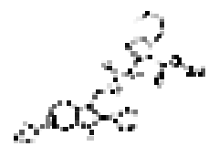 CC(C)(C)OC(=O)c1c(NC(=O)NCc2c(-n3cccc3)[nH]c3c2CCN(C2COC2)C3)sc2c1CCCC2